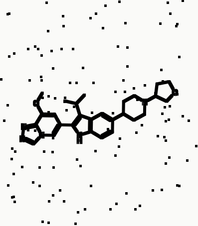 COc1cc(-c2[nH]c3ccc(C4CCN(C5CCOC5)CC4)cc3c2C(C)C)cn2cnnc12